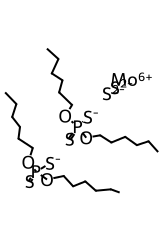 CCCCCCOP(=S)([S-])OCCCCCC.CCCCCCOP(=S)([S-])OCCCCCC.[Mo+6].[S-2].[S-2]